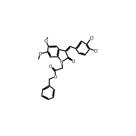 COc1cc2c(cc1OC)N(CC(=O)OCc1ccccc1)C(=O)C2=Cc1ccc(Cl)c(Cl)c1